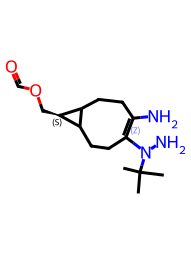 CC(C)(C)N(N)/C1=C(\N)CCC2C(CC1)[C@H]2COC=O